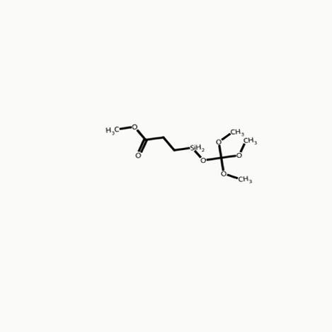 COC(=O)CC[SiH2]OC(OC)(OC)OC